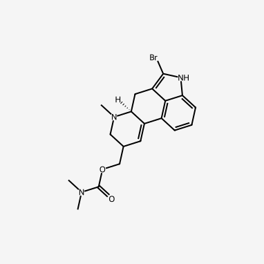 CN(C)C(=O)OCC1C=C2c3cccc4[nH]c(Br)c(c34)C[C@@H]2N(C)C1